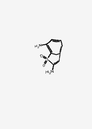 NC1=Cc2cccc(N)c2S1(=O)=O